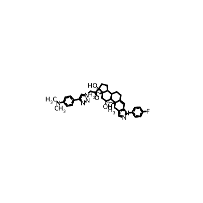 CN(C)c1ccc(-c2cn(CC(=O)[C@@]3(O)CCC4C5CCC6=Cc7c(cnn7-c7ccc(F)cc7)CC6(C)C5[C@@H](O)CC43C)nn2)cc1